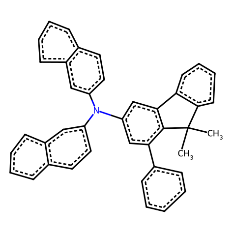 CC1(C)c2ccccc2-c2cc(N(c3ccc4ccccc4c3)c3ccc4ccccc4c3)cc(-c3ccccc3)c21